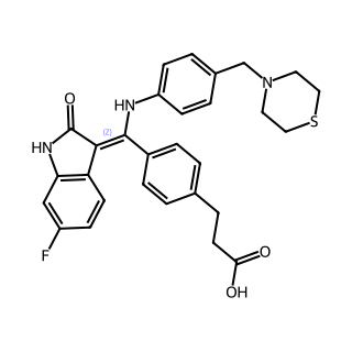 O=C(O)CCc1ccc(/C(Nc2ccc(CN3CCSCC3)cc2)=C2/C(=O)Nc3cc(F)ccc32)cc1